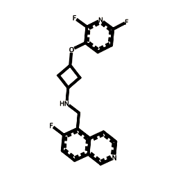 Fc1ccc(OC2CC(NCc3c(F)ccc4cnccc34)C2)c(F)n1